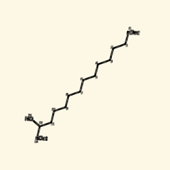 CCCCCCCCCCCCCCCCCCCCCC(O)CCCCCCCC